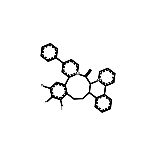 C=C1C2C(CCc3c(cc(F)c(F)c3F)-c3cc(-c4ccccc4)cc[n+]31)c1ccccc1-c1cccc[n+]12